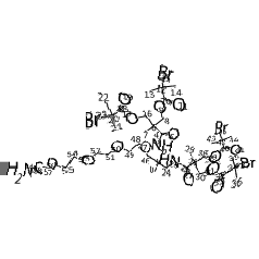 CC(CNC(=O)C(C)(COC(=O)C(C)(C)Br)COC(=O)C(C)(C)Br)(CNC(=O)C(C)(COC(=O)C(C)(C)Br)COC(=O)C(C)(C)Br)COCCOCCOCCOCCN